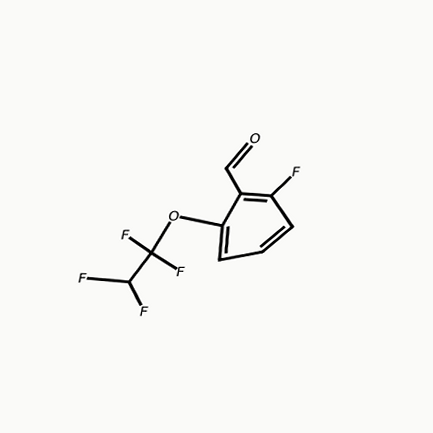 O=Cc1c(F)cccc1OC(F)(F)C(F)F